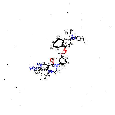 C=C(/N=C\C1=C(C(C)CC)N(C)CCN(c2cccc(COC(CCN(C)C)c3ccccc3)c2)C1=O)NCC